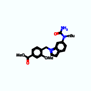 CCCCN(C(N)=O)c1ccc2ccn(Cc3ccc(C(=O)OC)cc3OC)c2c1